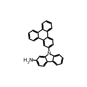 Nc1ccc2c3ccccc3n(-c3ccc4c5ccccc5c5ccccc5c4c3)c2c1